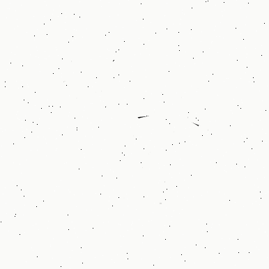 O=C(OC[C@H]1SC(Br)[C@@H](F)[C@@H]1OC(=O)c1ccccc1)c1ccccc1